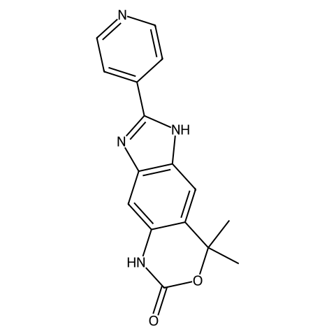 CC1(C)OC(=O)Nc2cc3nc(-c4ccncc4)[nH]c3cc21